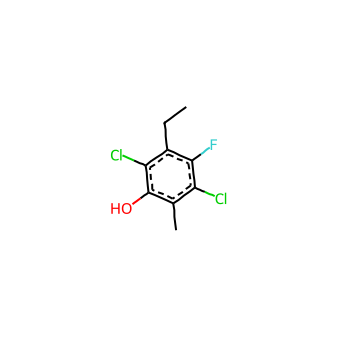 CCc1c(F)c(Cl)c(C)c(O)c1Cl